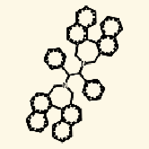 c1ccc(C(C(c2ccccc2)N2Cc3ccc4ccccc4c3-c3c(ccc4ccccc34)C2)N2Cc3ccc4ccccc4c3-c3c(ccc4ccccc34)C2)cc1